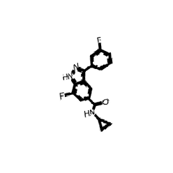 O=C(NC1CC1)c1cc(F)c2[nH]nc(-c3cccc(F)c3)c2c1